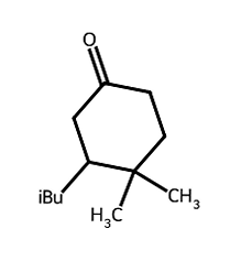 CCC(C)C1CC(=O)CCC1(C)C